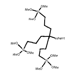 CCCCCC(CCC[Si](OC)(OC)OC)(CCC[Si](OC)(OC)OC)CCC[Si](OC)(OC)OC